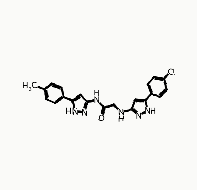 Cc1ccc(-c2cc(NC(=O)CNc3cc(-c4ccc(Cl)cc4)[nH]n3)n[nH]2)cc1